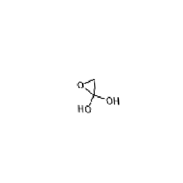 OC1(O)CO1